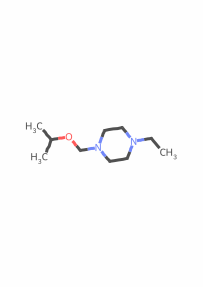 CCN1CCN(COC(C)C)CC1